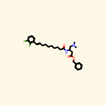 CN(C)CC(CC(=O)OCc1ccccc1)NC(=O)CCCCCCCC=Cc1cccc(F)c1F